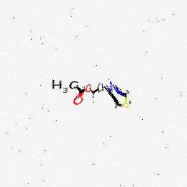 CCOC(C)=O.c1cscn1